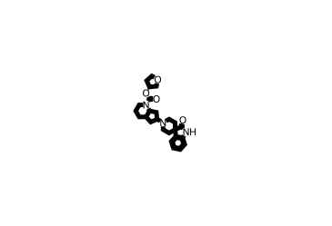 O=C(O[C@H]1CCOC1)N1CCCC2CC(N3CCC4(CC3)C(=O)Nc3ccccc34)CC21